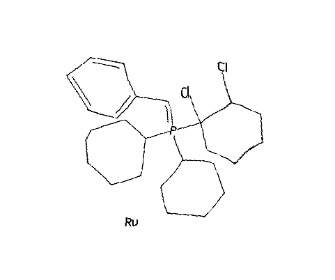 ClC1CCCCC1(Cl)P(=Cc1ccccc1)(C1CCCCC1)C1CCCCC1.[Ru]